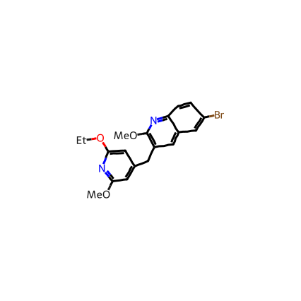 CCOc1cc(Cc2cc3cc(Br)ccc3nc2OC)cc(OC)n1